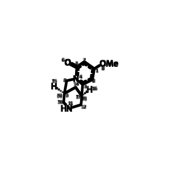 COc1cc2n(c(=O)c1)C[C@@H]1CNC[C@H]2C1